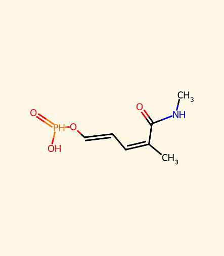 CNC(=O)/C(C)=C\C=C\O[PH](=O)O